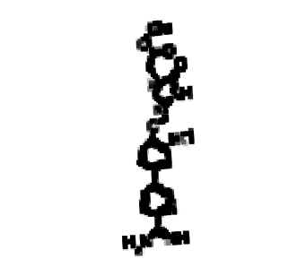 CC(C)(C)OC(=O)C[C@@H]1C[C@@H](COc2ccc(-c3ccc(C(=N)N)nc3)cc2)NC1=O.Cl